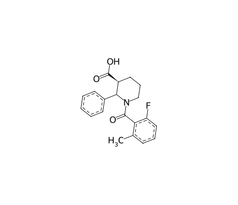 Cc1cccc(F)c1C(=O)N1CCC[C@H](C(=O)O)C1c1ccccc1